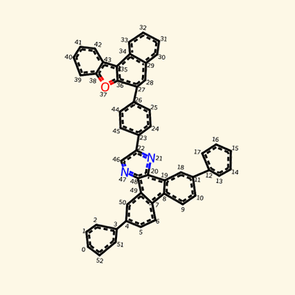 c1ccc(-c2ccc3c4ccc(-c5ccccc5)cc4c4nc(-c5ccc(-c6cc7ccccc7c7c6oc6ccccc67)cc5)cnc4c3c2)cc1